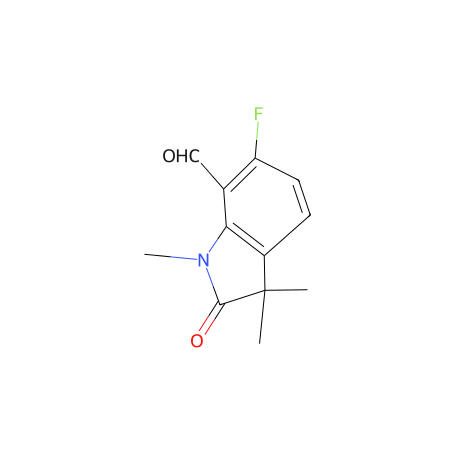 CN1C(=O)C(C)(C)c2ccc(F)c(C=O)c21